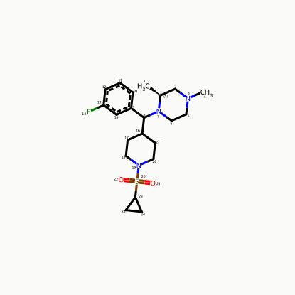 C[C@H]1CN(C)CCN1C(c1cccc(F)c1)C1CCN(S(=O)(=O)C2CC2)CC1